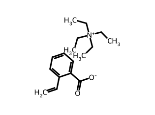 C=Cc1ccccc1C(=O)[O-].CC[N+](CC)(CC)CC